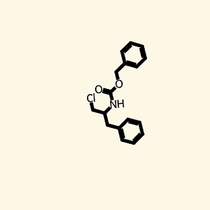 O=C(NC(CCl)Cc1ccccc1)OCc1ccccc1